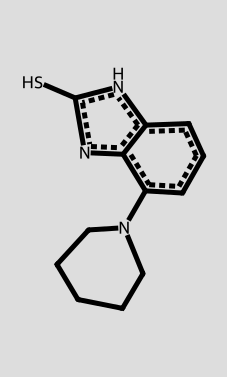 Sc1nc2c(N3CCCCC3)cccc2[nH]1